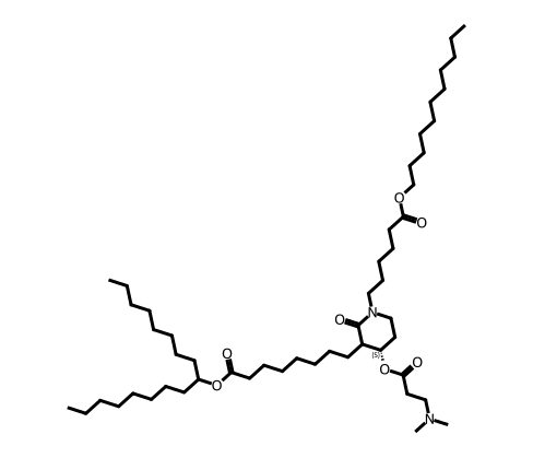 CCCCCCCCCCCOC(=O)CCCCCN1CC[C@H](OC(=O)CCN(C)C)C(CCCCCCCC(=O)OC(CCCCCCCC)CCCCCCCC)C1=O